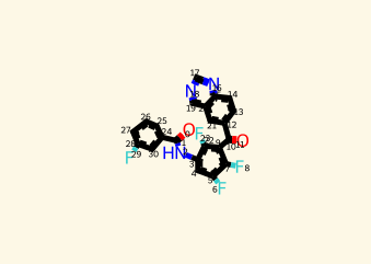 O=C(Nc1cc(F)c(F)c(C(=O)c2ccc3ncncc3c2)c1F)c1cccc(F)c1